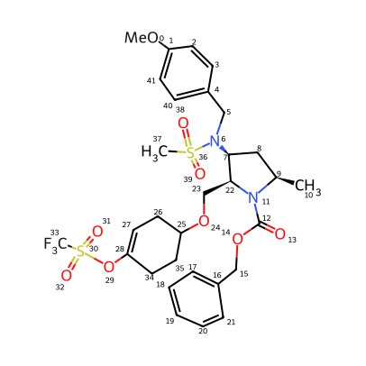 COc1ccc(CN([C@H]2C[C@@H](C)N(C(=O)OCc3ccccc3)[C@H]2COC2CC=C(OS(=O)(=O)C(F)(F)F)CC2)S(C)(=O)=O)cc1